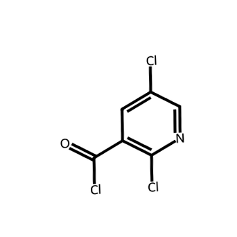 O=C(Cl)c1cc(Cl)cnc1Cl